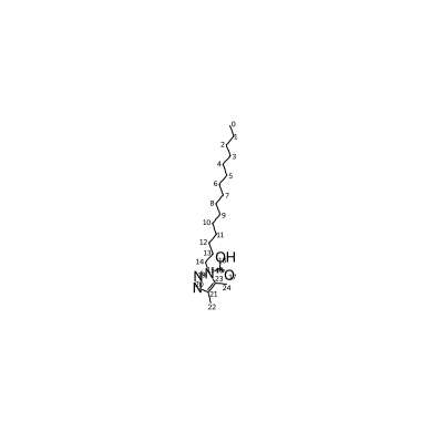 CCCCCCCCCCCCCCC[N+]1(C(=O)O)N=NC(C)=C1C